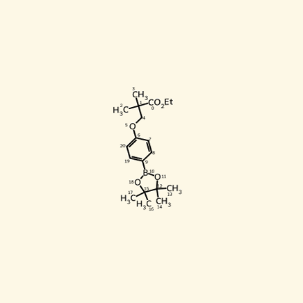 CCOC(=O)C(C)(C)COc1ccc(B2OC(C)(C)C(C)(C)O2)cc1